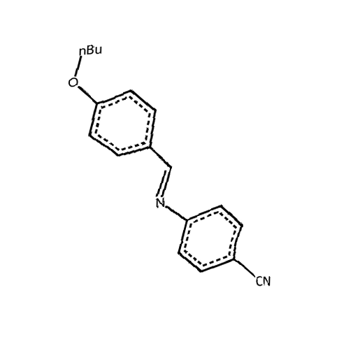 CCCCOc1ccc(/C=N/c2ccc(C#N)cc2)cc1